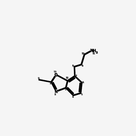 Cc1nc2cccc(CCCN)c2o1